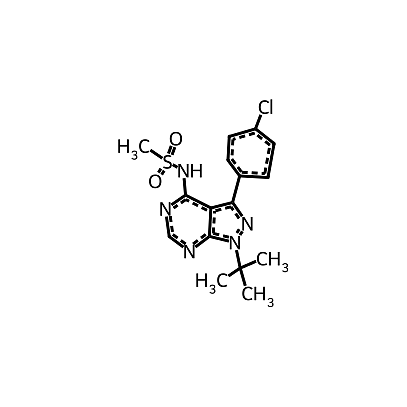 CC(C)(C)n1nc(-c2ccc(Cl)cc2)c2c(NS(C)(=O)=O)ncnc21